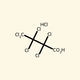 Cl.O=C(O)C(Cl)(Cl)C(Cl)(Cl)C(Cl)(Cl)Cl